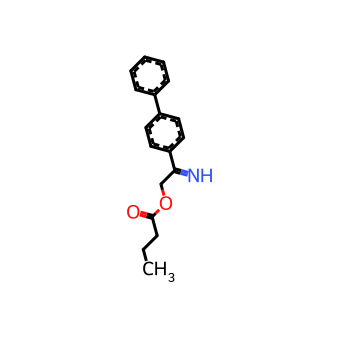 CCCC(=O)OCC(=N)c1ccc(-c2ccccc2)cc1